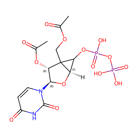 CC(=O)OCC12C(OP(=O)(O)OP(=O)(O)O)[C@H]1O[C@@H](n1ccc(=O)[nH]c1=O)[C@@H]2OC(C)=O